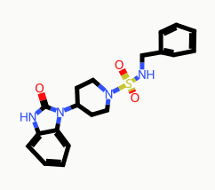 O=c1[nH]c2ccccc2n1C1CCN(S(=O)(=O)NCc2ccccc2)CC1